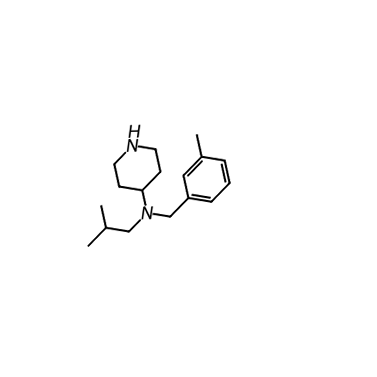 Cc1cccc(CN(CC(C)C)C2CCNCC2)c1